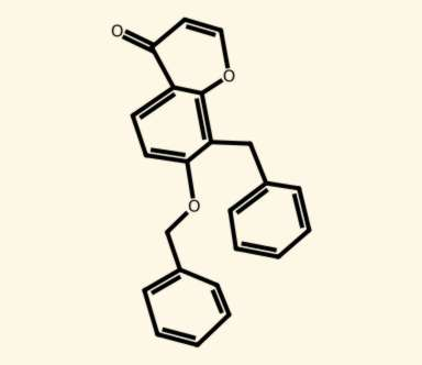 O=c1ccoc2c(Cc3ccccc3)c(OCc3ccccc3)ccc12